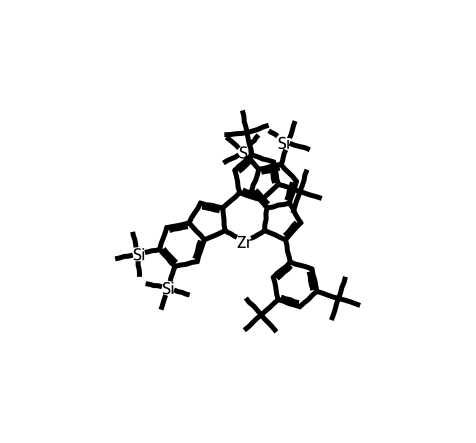 CC(C)(C)c1cc(C2=Cc3cc([Si](C)(C)C)c([Si](C)(C)C)cc3[CH]2[Zr][CH]2C(c3cc(C(C)(C)C)cc(C(C)(C)C)c3)=Cc3cc([Si](C)(C)C)c([Si](C)(C)C)cc32)cc(C(C)(C)C)c1